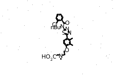 CCCCN(C(=O)c1ccccc1Cl)c1nnc(-c2ccc(OCCN(C)CC(=O)O)c(C)c2C)s1